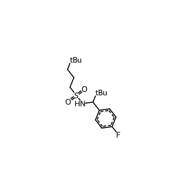 CC(C)(C)CCCS(=O)(=O)NC(c1ccc(F)cc1)C(C)(C)C